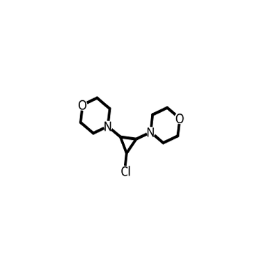 ClC1C(N2CCOCC2)C1N1CCOCC1